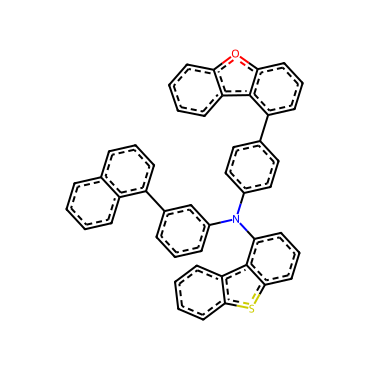 c1cc(-c2cccc3ccccc23)cc(N(c2ccc(-c3cccc4oc5ccccc5c34)cc2)c2cccc3sc4ccccc4c23)c1